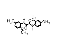 COc1ccc(C)cc1NC(=O)C(=O)Nc1ccc(N)cc1C